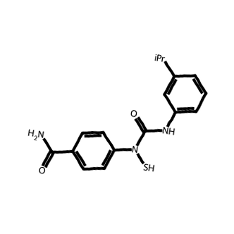 CC(C)c1cccc(NC(=O)N(S)c2ccc(C(N)=O)cc2)c1